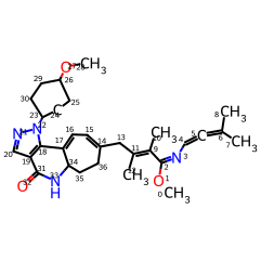 COC(=N/C=C=C(C)C)/C(C)=C(\C)CC1=CC=C2c3c(cnn3C3CCC(OC)CC3)C(=O)NC2CC1